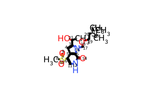 CC(O)c1cc2c(S(C)(=O)=O)c[nH]c(=O)c2n1COCC[Si](C)(C)C